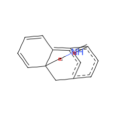 C1=CC2=c3cc4cc/c3=C/N/C=C\C2(C=C1)C4